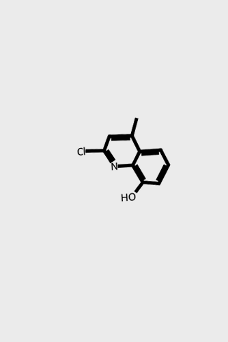 Cc1cc(Cl)nc2c(O)cccc12